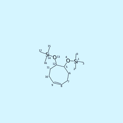 C[Si](C)(C)OC1CC/C=C\CCC1O[Si](C)(C)C